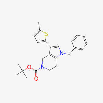 Cc1ccc(-c2cn(Cc3ccccc3)c3c2CN(C(=O)OC(C)(C)C)CC3)s1